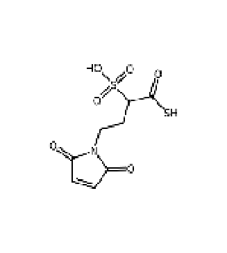 O=C(S)C(CCN1C(=O)C=CC1=O)S(=O)(=O)O